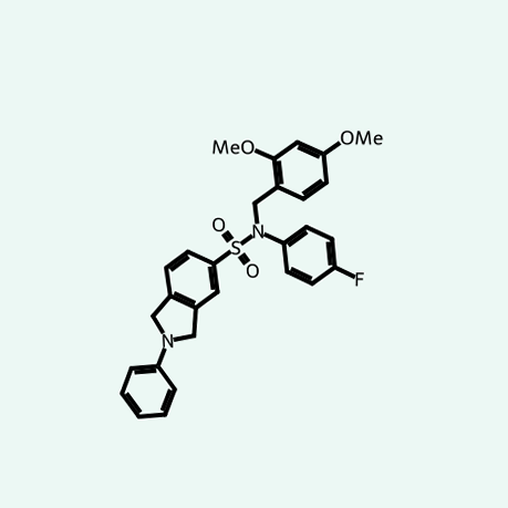 COc1ccc(CN(c2ccc(F)cc2)S(=O)(=O)c2ccc3c(c2)CN(c2ccccc2)C3)c(OC)c1